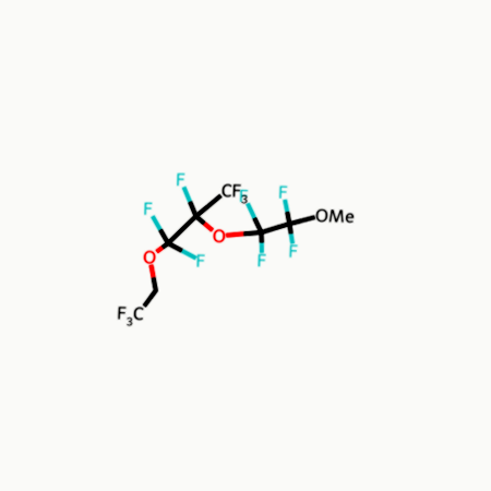 COC(F)(F)C(F)(F)OC(F)(C(F)(F)F)C(F)(F)OCC(F)(F)F